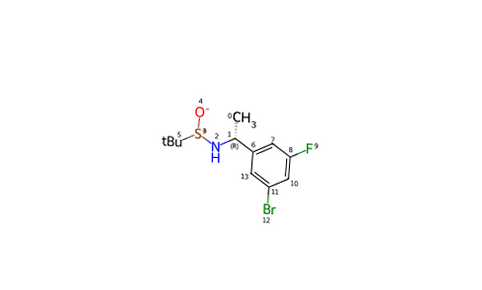 C[C@@H](N[S+]([O-])C(C)(C)C)c1cc(F)cc(Br)c1